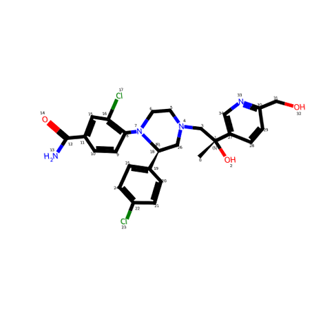 C[C@@](O)(CN1CCN(c2ccc(C(N)=O)cc2Cl)[C@H](c2ccc(Cl)cc2)C1)c1ccc(CO)nc1